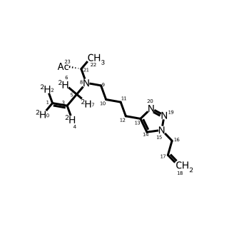 [2H]C([2H])=C([2H])C([2H])([2H])N(CCCCc1cn(CC=C)nn1)[C@@H](C)C(C)=O